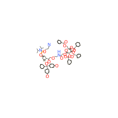 COc1ccc(C(OC[C@@H]2C[C@@H](OP(OCCC#N)N(C(C)C)C(C)C)CC2C(=O)COCCNC(=O)CO[C@H]2OC(COC(=O)c3ccccc3)[C@@H](OC(=O)c3ccccc3)[C@H](OC(=O)c3ccccc3)C2OC(=O)c2ccccc2)(c2ccccc2)c2ccc(OC)cc2)cc1